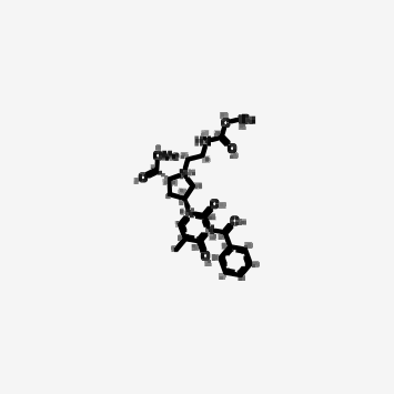 COC(=O)[C@H]1C[C@H](n2cc(C)c(=O)n(C(=O)c3ccccc3)c2=O)CN1CCNC(=O)OC(C)(C)C